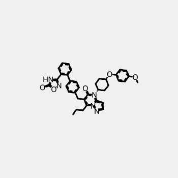 CCCc1c(Cc2ccc(-c3ccccc3-c3noc(=O)[nH]3)cc2)c(=O)n([C@H]2CC[C@H](Oc3ccc(OC)cc3)CC2)c2ccnn12